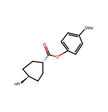 CCC[C@H]1CC[C@H](C(=O)Oc2ccc(SC)cc2)CC1